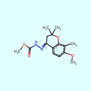 COC(=O)N/N=C1\CC(C)(C)Oc2c1ccc(OC)c2C